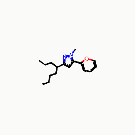 CCCCC(CCC)c1cc(C2=CC=C=CO2)n(C)n1